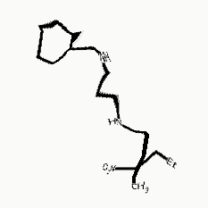 CCC(C)(CNCCNC1CCCCC1)[N+](=O)[O-]